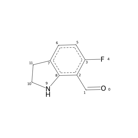 O=Cc1c(F)ccc2c1NCC2